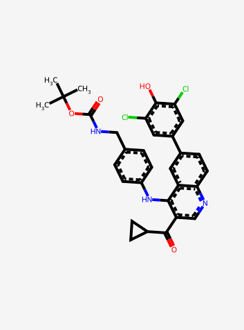 CC(C)(C)OC(=O)NCc1ccc(Nc2c(C(=O)C3CC3)cnc3ccc(-c4cc(Cl)c(O)c(Cl)c4)cc23)cc1